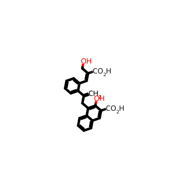 C=C(Cc1c(O)c(C(=O)O)cc2ccccc12)c1ccccc1/C=C(\CO)C(=O)O